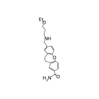 CCOCCCNCc1ccc2c(c1)CCc1cc(C(N)=O)ccc1O2